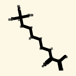 C=C(C)C(=O)OCCOCCC(F)(F)F